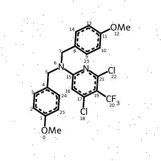 COc1ccc(CN(Cc2ccc(OC)cc2)c2cc(Cl)c(C(F)(F)F)c(Cl)n2)cc1